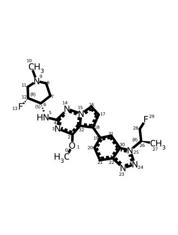 COc1nc(N[C@H]2CCN(C)C[C@H]2F)nn2ccc(-c3ccc4nnn([C@H](C)CF)c4c3)c12